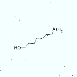 OCCCCCCC[AsH2]